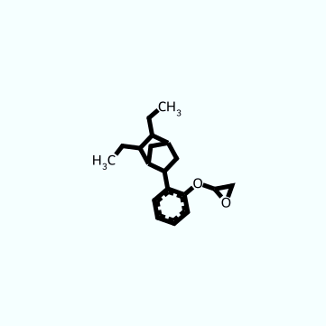 CCC1C2CC(c3ccccc3OC3CO3)C(C2)C1CC